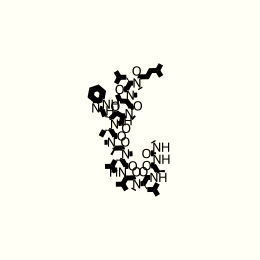 CC[C@@H](C(=O)N(C)[C@H](C)C(=O)N(C)[C@@H](CC(C)C)C(=O)N[C@H](C(=O)N(C)[C@@H](CC(C)C)C(=O)N[C@H](C)C(=O)NC(=O)NC)C(C)C)N1C(=O)[C@@H]2[C@H](OC(C)[C@H](N(C)C(=O)[C@H](CC(C)C)N(C)C(=O)CCC(C)C)C(=O)N2C)[C@H]1Cc1nc2ccccc2[nH]1